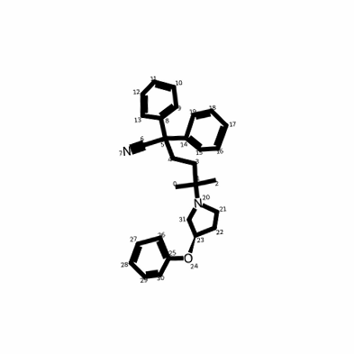 CC(C)(CCC(C#N)(c1ccccc1)c1ccccc1)N1CC[C@@H](Oc2ccccc2)C1